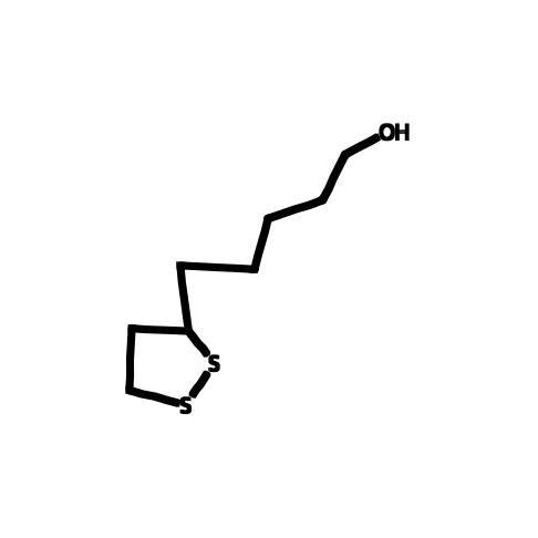 OCCCCCC1CCSS1